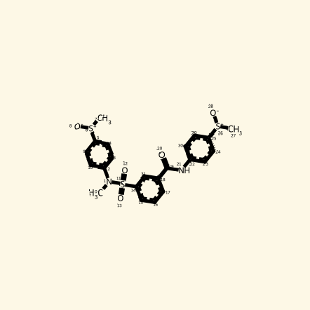 CN(c1ccc([S+](C)[O-])cc1)S(=O)(=O)c1cccc(C(=O)Nc2ccc([S+](C)[O-])cc2)c1